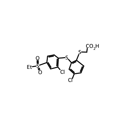 CCS(=O)(=O)c1ccc(Sc2cc(Cl)ccc2SCC(=O)O)c(Cl)c1